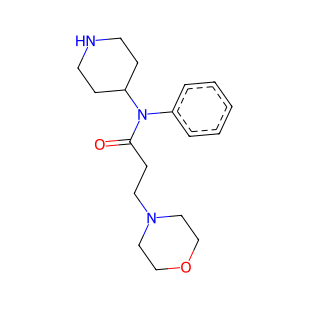 O=C(CCN1CCOCC1)N(c1ccccc1)C1CCNCC1